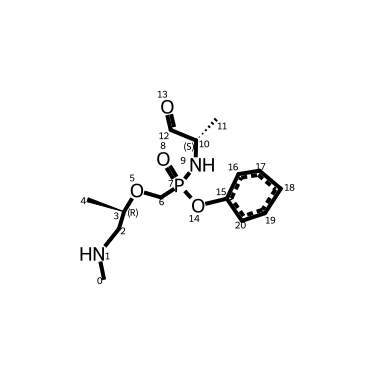 CNC[C@@H](C)OCP(=O)(N[C@@H](C)C=O)Oc1ccccc1